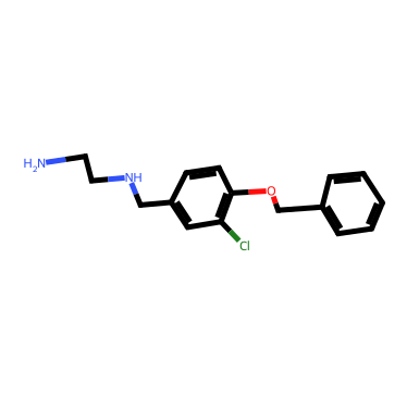 NCCNCc1ccc(OCc2ccccc2)c(Cl)c1